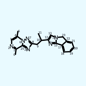 Cc1ncc(C)n2nc(CC(C)c3cn4c(n3)-c3ccccc3C4)nc12